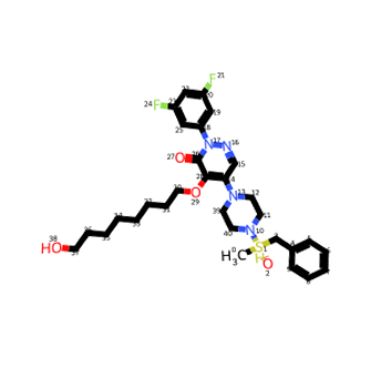 C[SH](=O)(Cc1ccccc1)N1CCN(c2cnn(-c3cc(F)cc(F)c3)c(=O)c2OCCCCCCCCO)CC1